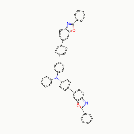 c1ccc(-c2nc3ccc(-c4ccc(-c5ccc(N(c6ccccc6)c6ccc(-c7ccc8nc(-c9ccccc9)oc8c7)cc6)cc5)cc4)cc3o2)cc1